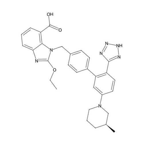 CCOc1nc2cccc(C(=O)O)c2n1Cc1ccc(-c2cc(N3CCC[C@H](C)C3)ccc2-c2nn[nH]n2)cc1